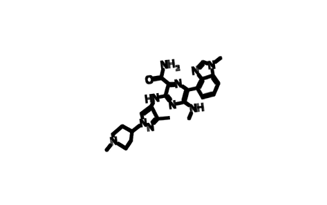 CNc1nc(Nc2cn(C3CCN(C)CC3)nc2C)c(C(N)=O)nc1-c1cccc2c1ncn2C